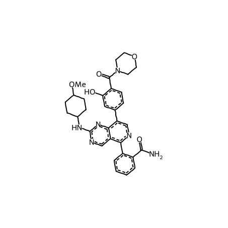 COC1CCC(Nc2ncc3c(-c4ccccc4C(N)=O)ncc(-c4ccc(C(=O)N5CCOCC5)c(O)c4)c3n2)CC1